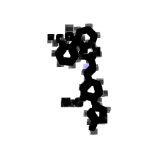 COc1cc(/C=C/c2nc3n(n2)CCC[C@@]3(O)c2ccccc2C(F)(F)F)ccc1-n1cnc(C)c1